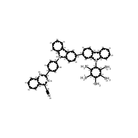 Bc1c(B)c(B)c(-n2c3ccccc3c3ccc(-c4ccc5c(c4)c4ccccc4n5-c4ccc(-c5nc(C#N)c6ccccc6n5)cc4)cc32)c(B)c1B